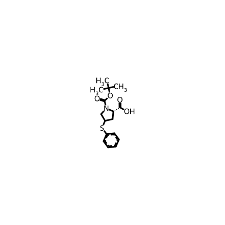 CC(C)(C)OC(=O)N1CC(Sc2ccccc2)C[C@H]1C(=O)O